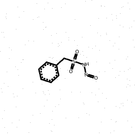 O=NNS(=O)(=O)Cc1ccccc1